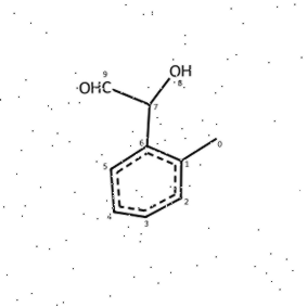 Cc1ccccc1C(O)[C]=O